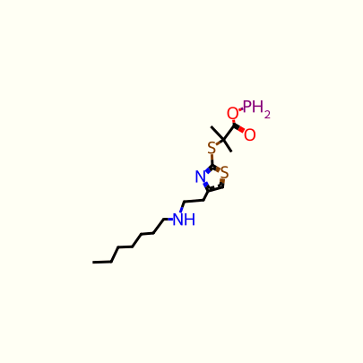 CCCCCCCNCCc1csc(SC(C)(C)C(=O)OP)n1